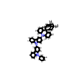 c1ccc(-n2c3ccccc3c3cc(-n4c5ccccc5c5cc(N6c7ccccc7C7(c8ccccc86)C6C[C@H]8C[C@@H](C6)C[C@@H]7C8)ccc54)ccc32)cc1